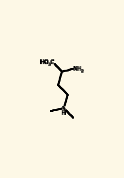 C[SH](C)CCC(N)C(=O)O